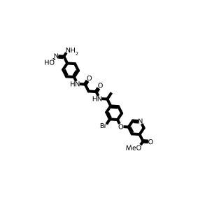 COC(=O)C1C=C(OC2CC=C(C(C)NC(=O)CC(=O)NC3=CCC(/C(N)=N\O)C=C3)C=C2Br)C=NC1